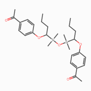 CCCC(Oc1ccc(C(C)=O)cc1)[Si](C)(C)O[Si](C)(C)C(CCC)Oc1ccc(C(C)=O)cc1